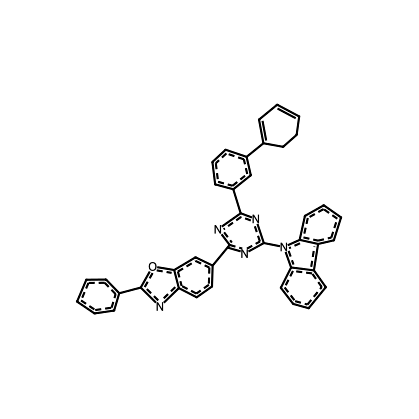 C1=CCCC(c2cccc(-c3nc(-c4ccc5nc(-c6ccccc6)oc5c4)nc(-n4c5ccccc5c5ccccc54)n3)c2)=C1